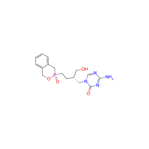 Nc1ncn(C[C@@H](CO)CCP2(=O)Cc3ccccc3CO2)c(=O)n1